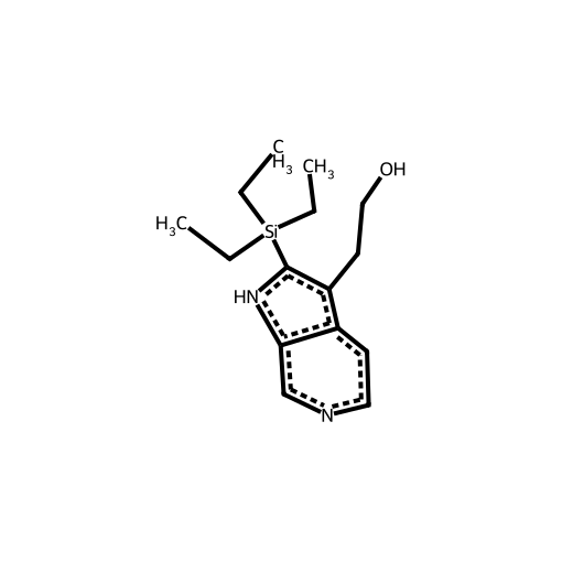 CC[Si](CC)(CC)c1[nH]c2cnccc2c1CCO